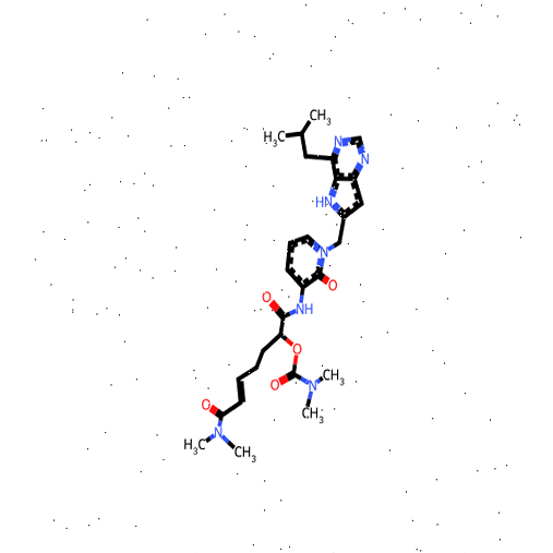 CC(C)Cc1ncnc2cc(Cn3cccc(NC(=O)C(CC/C=C/C(=O)N(C)C)OC(=O)N(C)C)c3=O)[nH]c12